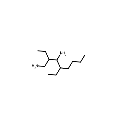 CCCCC(CC)C(N)C(CC)CN